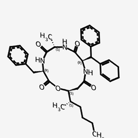 CCCC[C@H](C)[C@@H]1CC(=O)N[C@H](C(C2=CCCC=C2)c2ccccc2)C(=O)N[C@@H](C)C(=O)N[C@H](Cc2ccccc2)C(=O)O1